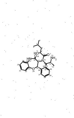 CC(C)C[C@H](O)C(=O)N(C(=O)[C@H](C)N)[C@@H]1C(=O)Nc2ccccc2O[C@@H]1c1ccccc1